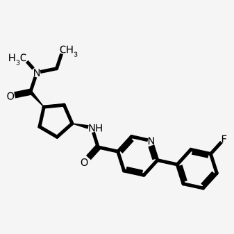 CCN(C)C(=O)[C@@H]1CC[C@H](NC(=O)c2ccc(-c3cccc(F)c3)nc2)C1